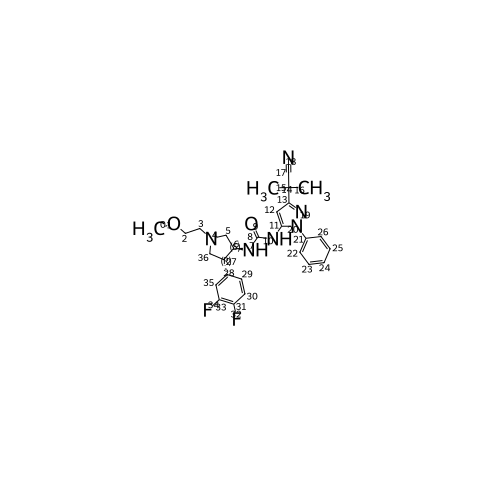 COCCN1C[C@@H](NC(=O)Nc2cc(C(C)(C)C#N)nn2-c2ccccc2)[C@H](c2ccc(F)c(F)c2)C1